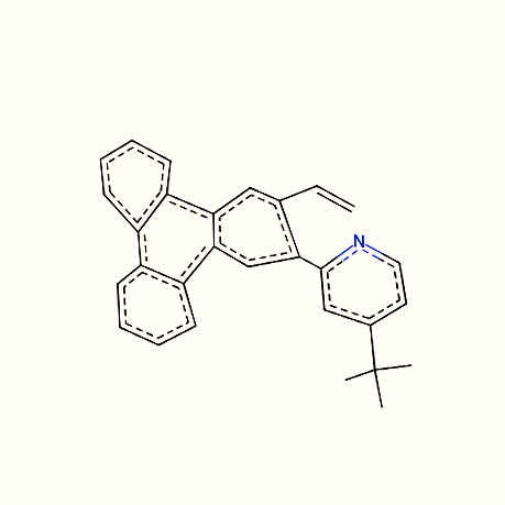 C=Cc1cc2c3ccccc3c3ccccc3c2cc1-c1cc(C(C)(C)C)ccn1